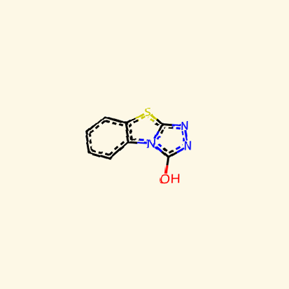 Oc1nnc2sc3ccccc3n12